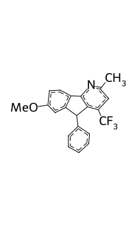 COc1ccc2c(c1)C(c1ccccc1)c1c(C(F)(F)F)cc(C)nc1-2